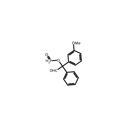 COc1cccc(C(C=O)(O[PH2]=O)c2ccccc2)c1